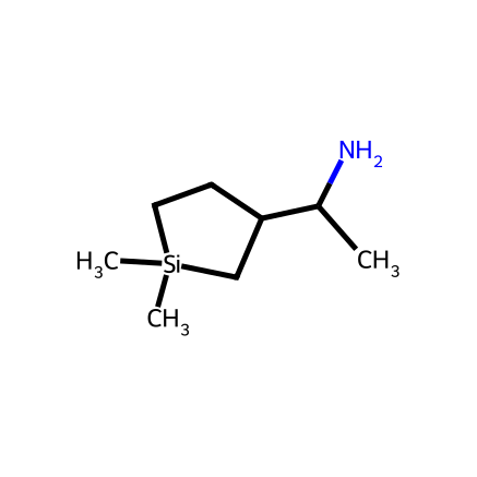 CC(N)C1CC[Si](C)(C)C1